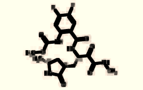 CNC(=O)C(=O)[C@H](C[C@@H]1C[C@@H](C)NC1=O)NC(=O)c1cc(F)c(F)cc1NC(=O)OC